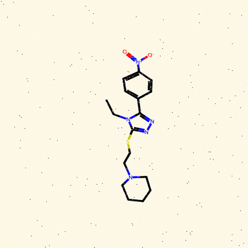 CCn1c(SCCN2CCCCC2)nnc1-c1ccc([N+](=O)[O-])cc1